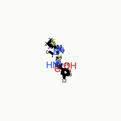 CCn1c(SCN2C=C(c3cc(C)ccc3O)ON2)nnc1-c1cccs1